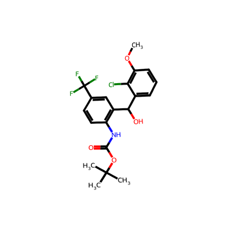 COc1cccc(C(O)c2cc(C(F)(F)F)ccc2NC(=O)OC(C)(C)C)c1Cl